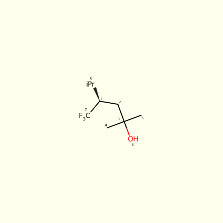 CC(C)[C@@H](CC(C)(C)O)C(F)(F)F